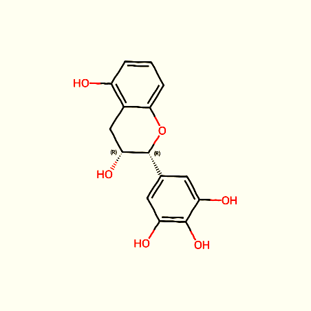 Oc1cc([C@H]2Oc3cccc(O)c3C[C@H]2O)cc(O)c1O